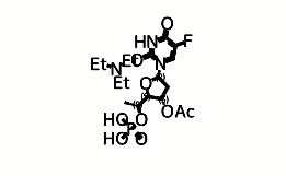 CC(=O)O[C@H]1C[C@H](n2cc(F)c(=O)[nH]c2=O)O[C@@H]1[C@H](C)OP(=O)(O)O.CCN(CC)CC